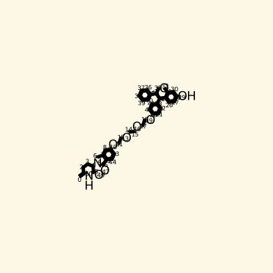 C=C1CCC(N2Cc3cc(OCCOCCOCCOc4ccc(C5c6ccc(O)cc6OCC5c5ccccc5)cc4)ccc3C2=O)C(=O)N1